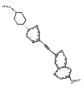 CCCCCCCc1ccc2cc(C#Cc3ccc([C@H]4CC[C@H](CCCCCC)CC4)cc3)ccc2c1